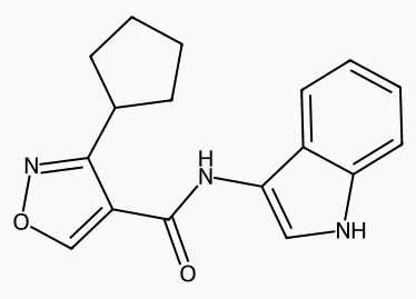 O=C(Nc1c[nH]c2ccccc12)c1conc1C1CCCC1